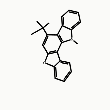 Cn1c2ccccc2c2c(C(C)(C)C)cc3oc4ccccc4c3c21